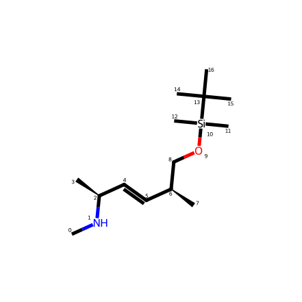 CN[C@@H](C)/C=C/[C@H](C)CO[Si](C)(C)C(C)(C)C